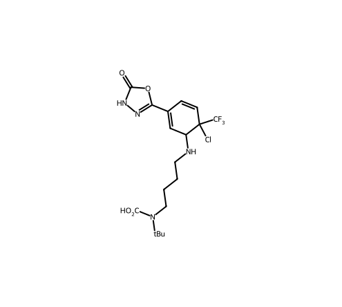 CC(C)(C)N(CCCCNC1C=C(c2n[nH]c(=O)o2)C=CC1(Cl)C(F)(F)F)C(=O)O